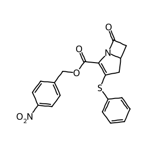 O=C(OCc1ccc([N+](=O)[O-])cc1)C1=C(Sc2ccccc2)CC2CC(=O)N12